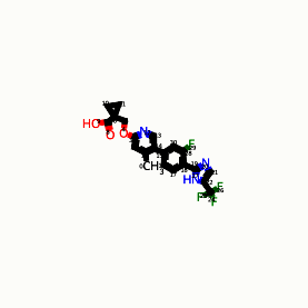 Cc1cc(OCC2(C(=O)O)CC2)ncc1-c1ccc(-c2ncc(C(F)(F)F)[nH]2)c(F)c1